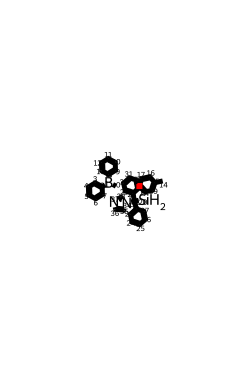 CB(c1ccccc1)c1ccccc1.Cc1cccc([SiH2]C(c2ccccc2)(c2ccccc2)n2ccnc2)c1